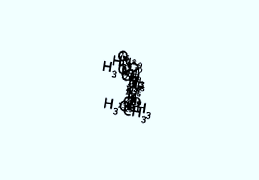 CN(C)c1c(NC=O)cccc1C1CN(C2CCN(C(=O)OC(C)(C)C)CC2F)C1